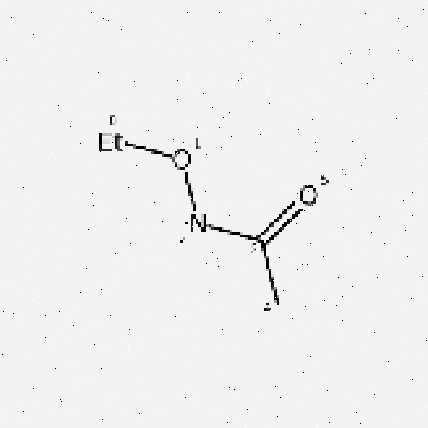 CCO[N]C(C)=O